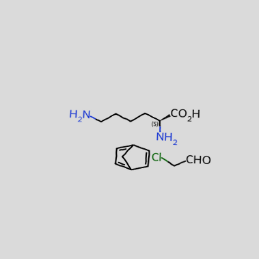 C1=CC2=CC=C1C2.NCCCC[C@H](N)C(=O)O.O=CCCl